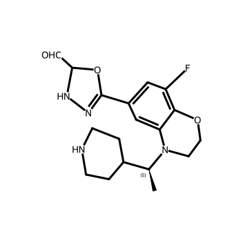 C[C@@H](C1CCNCC1)N1CCOc2c(F)cc(C3=NNC(C=O)O3)cc21